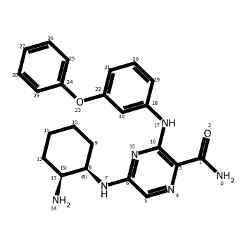 NC(=O)c1ncc(N[C@@H]2CCCC[C@@H]2N)nc1Nc1cccc(Oc2ccccc2)c1